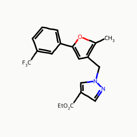 CCOC(=O)c1cnn(Cc2cc(-c3cccc(C(F)(F)F)c3)oc2C)c1